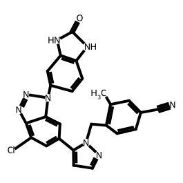 Cc1cc(C#N)ccc1Cn1nccc1-c1cc(Cl)c2nnn(-c3ccc4[nH]c(=O)[nH]c4c3)c2c1